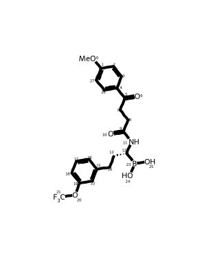 COc1ccc(C(=O)CCC(=O)N[C@@H](CCc2cccc(OC(F)(F)F)c2)B(O)O)cc1